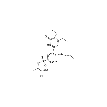 CCCOc1ccc(S(=O)(=O)NC(C)C(=O)O)cc1-c1nc(CC)c(CC)c(=O)[nH]1